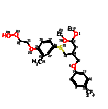 CCOC(CC(COc1ccc(C(F)(F)F)cc1)CSc1ccc(OCCOO)c(C)c1)OCC